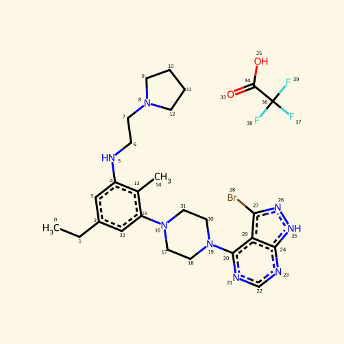 CCc1cc(NCCN2CCCC2)c(C)c(N2CCN(c3ncnc4[nH]nc(Br)c34)CC2)c1.O=C(O)C(F)(F)F